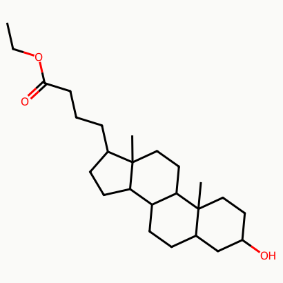 CCOC(=O)CCCC1CCC2C3CCC4CC(O)CCC4(C)C3CCC12C